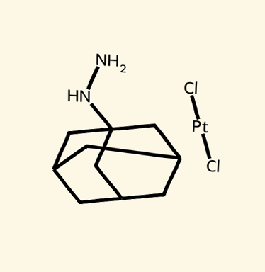 NNC12CC3CC(CC(C3)C1)C2.[Cl][Pt][Cl]